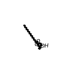 CCCCCCCCCCCCCCCCCC(=O)Oc1ccc(O)c(C(C)(C)C)c1